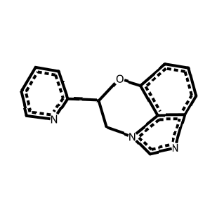 c1ccc(C2Cn3cnc4cccc(c43)O2)nc1